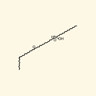 CCCCCCCC/C=C\CCCCCCCCCCCC(=O)CCCCCCCCCCCCCCC(=O)N[C@@H](CO)CCCCCCCCCCCCCCCC